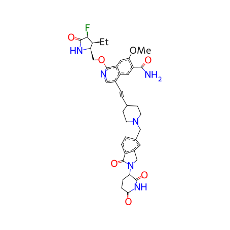 CC[C@@H]1[C@H](F)C(=O)N[C@@H]1COc1ncc(C#CC2CCN(Cc3ccc4c(c3)CN(C3CCC(=O)NC3=O)C4=O)CC2)c2cc(C(N)=O)c(OC)cc12